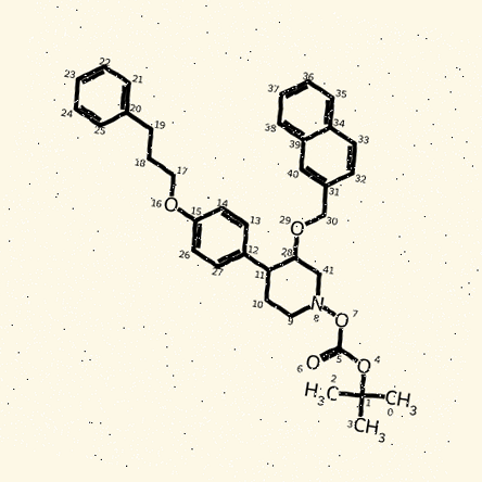 CC(C)(C)OC(=O)ON1CCC(c2ccc(OCCCc3ccccc3)cc2)C(OCc2ccc3ccccc3c2)C1